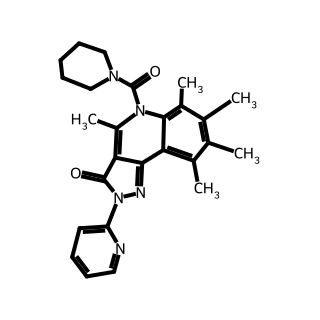 Cc1c(C)c(C)c2c(c3nn(-c4ccccn4)c(=O)c-3c(C)n2C(=O)N2CCCCC2)c1C